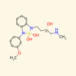 CNC[C@@H](O)CCN1c2ccccc2N(c2cccc(OC)c2)S1(O)O